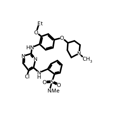 CCOc1cc(OC2CCN(C)CC2)ccc1Nc1ncc(Cl)c(Nc2ccccc2S(=O)(=O)NC)n1